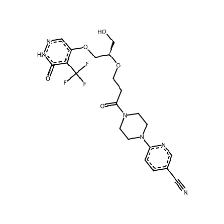 N#Cc1ccc(N2CCN(C(=O)CCO[C@H](CO)COc3cn[nH]c(=O)c3C(F)(F)F)CC2)nc1